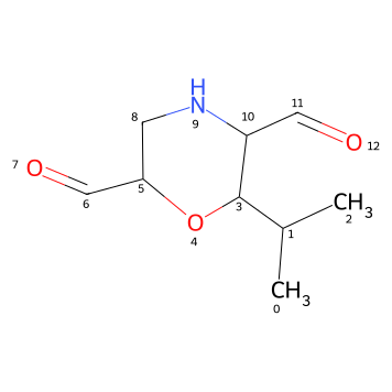 CC(C)C1OC(C=O)CNC1C=O